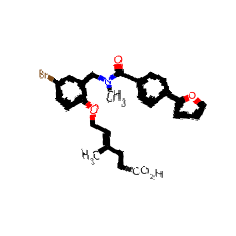 C/C(=C\COc1ccc(Br)cc1CN(C)C(=O)c1ccc(-c2ccco2)cc1)CCC(=O)O